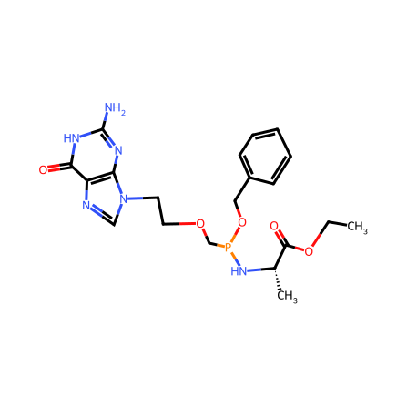 CCOC(=O)[C@H](C)NP(COCCn1cnc2c(=O)[nH]c(N)nc21)OCc1ccccc1